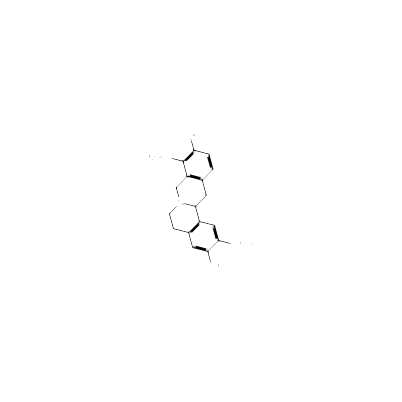 COc1cc2c(cc1OC)C1Cc3ccc(O)c(OC)c3CN1CC2